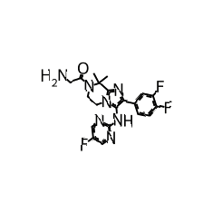 CC1(C)c2nc(-c3ccc(F)c(F)c3)c(Nc3ncc(F)cn3)n2CCN1C(=O)CN